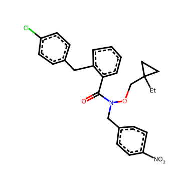 CCC1(CON(Cc2ccc([N+](=O)[O-])cc2)C(=O)c2ccccc2Cc2ccc(Cl)cc2)CC1